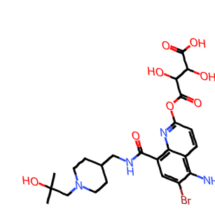 CC(C)(O)CN1CCC(CNC(=O)c2cc(Br)c(N)c3ccc(OC(=O)C(O)C(O)C(=O)O)nc23)CC1